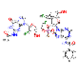 CC(C)C(=O)Nc1nc2c(ncn2[C@@H]2O[C@H](CO[P@@](O)(=S)O[C@H]3[C@H](n4cnc5c(NC(=O)c6ccccc6)ncnc54)O[C@H](CO)[C@]34CC4(F)F)[C@@H](O)[C@H]2F)c(=O)[nH]1